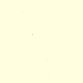 Cc1ccc2c(N)c(C(=O)N[C@H]3COc4cc(N5C[C@@H](N)[C@]6(CCOC6)C5)ccc4C3)sc2n1